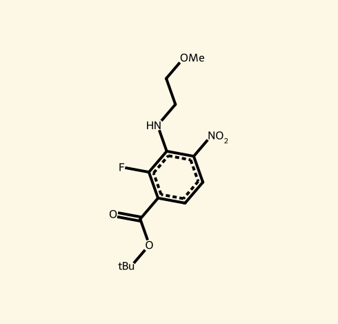 COCCNc1c([N+](=O)[O-])ccc(C(=O)OC(C)(C)C)c1F